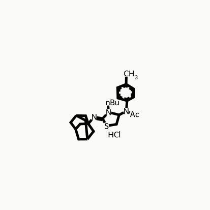 CCCCN1C(=NC23CC4CC(CC(C4)C2)C3)SCC1N(C(C)=O)c1ccc(C)cc1.Cl